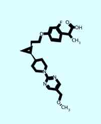 COCc1cnc(N2CCC([C@H]3C[C@H]3CCOc3ccc(C(C)C(=O)O)c(F)c3)CC2)nc1